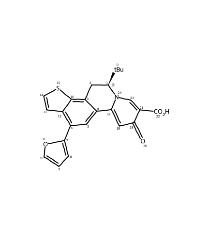 CC(C)(C)[C@@H]1Cc2c(cc(-c3ccco3)c3ccsc23)-c2cc(=O)c(C(=O)O)cn21